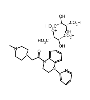 CN1CCN(CC(=O)N2CCN(c3ccccn3)c3ccccc32)CC1.O=C(O)[C@H](O)[C@@H](O)C(=O)O.O=C(O)[C@H](O)[C@@H](O)C(=O)O